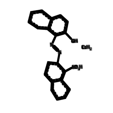 O=S(=O)(O)c1c(N=Nc2c(O)ccc3ccccc23)ccc2ccccc12.[CaH2]